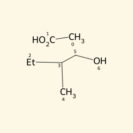 CC(=O)O.CCC(C)CO